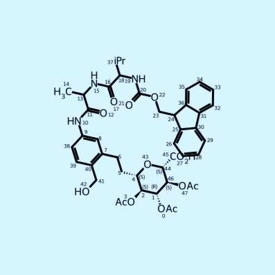 CC(=O)O[C@@H]1[C@@H](OC(C)=O)[C@H](CCc2cc(NC(=O)C(C)NC(=O)C(NC(=O)OCC3c4ccccc4-c4ccccc43)C(C)C)ccc2CO)O[C@H](C(=O)O)[C@H]1OC(C)=O